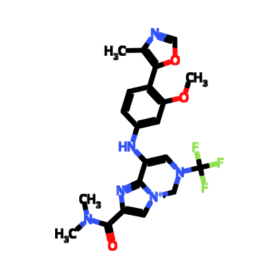 COc1cc(NC2=CN(C(F)(F)F)C[N+]3C=C(C(=O)N(C)C)N=C23)ccc1-c1ocnc1C